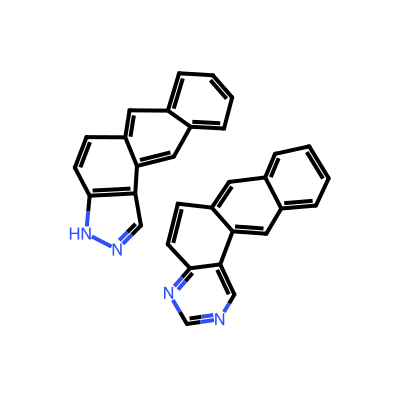 c1ccc2cc3c(ccc4[nH]ncc43)cc2c1.c1ccc2cc3c(ccc4ncncc43)cc2c1